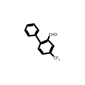 O=[C]c1cc(C(F)(F)F)ccc1-c1ccccc1